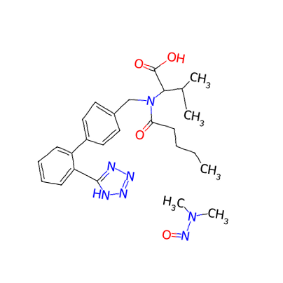 CCCCC(=O)N(Cc1ccc(-c2ccccc2-c2nnn[nH]2)cc1)C(C(=O)O)C(C)C.CN(C)N=O